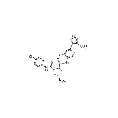 CO[C@@H]1C[C@H](C(=O)Nc2ccc(-c3nocc3C(=O)O)cc2F)N(C(=O)Nc2ccc(Cl)cc2)C1